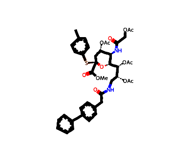 COC(=O)[C@]1(Sc2ccc(C)cc2)C[C@H](OC(C)=O)[C@@H](NC(=O)COC(C)=O)[C@H]([C@H](OC(C)=O)[C@@H](CNC(=O)Cc2ccc(-c3ccccc3)cc2)OC(C)=O)O1